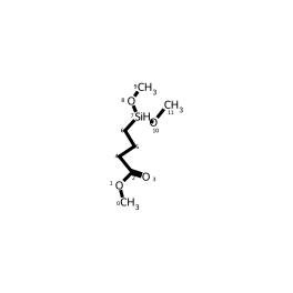 COC(=O)CCC[SiH](OC)OC